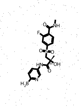 Bc1ccc(NC(=O)[C@@](C)(O)CS(=O)(=O)c2ccc(C(=O)NC)c(F)c2)cn1